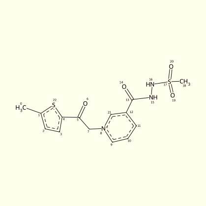 Cc1ccc(C(=O)C[n+]2cccc(C(=O)NNS(C)(=O)=O)c2)s1